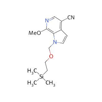 COc1ncc(C#N)c2ccn(COCC[Si](C)(C)C)c12